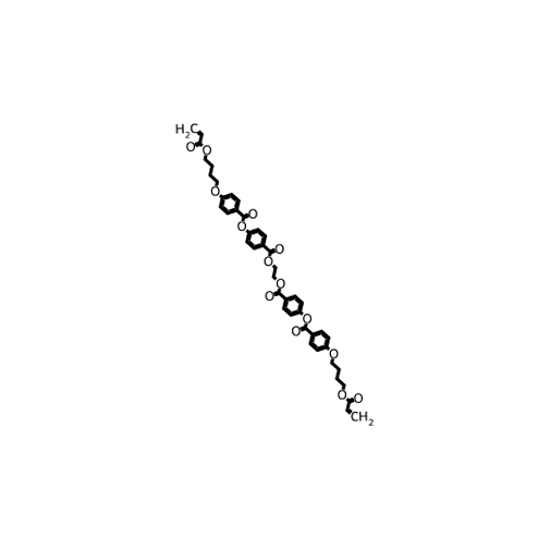 C=CC(=O)OCCCCOc1ccc(C(=O)Oc2ccc(C(=O)OCCOC(=O)c3ccc(OC(=O)c4ccc(OCCCCOC(=O)C=C)cc4)cc3)cc2)cc1